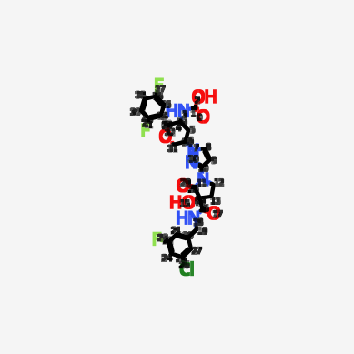 O=C(O)N[C@H]1C[C@@H](n2ccc(N3CC[C@](O)(C(=O)NCc4cc(F)cc(Cl)c4)C3=O)n2)CO[C@@H]1c1cc(F)ccc1F